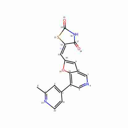 Cc1cc(-c2cncc3cc(/C=C4/SC(=O)NC4=O)oc23)ccn1